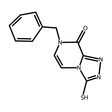 O=c1c2nnc(S)n2ccn1Cc1ccccc1